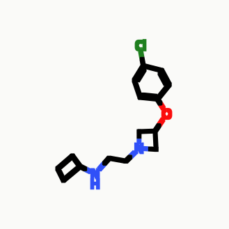 Clc1ccc(OC2CN(CCNC3CCC3)C2)cc1